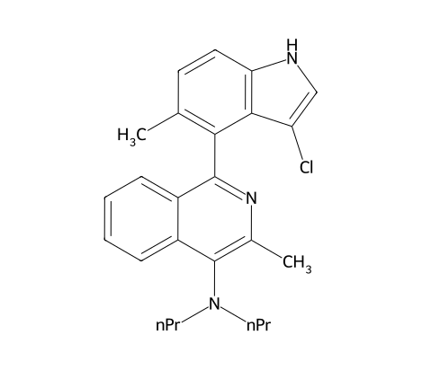 CCCN(CCC)c1c(C)nc(-c2c(C)ccc3[nH]cc(Cl)c23)c2ccccc12